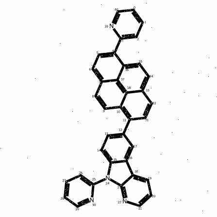 c1ccc(-c2ccc3ccc4c(-c5ccc6c(c5)c5cccnc5n6-c5ccccn5)ccc5ccc2c3c54)nc1